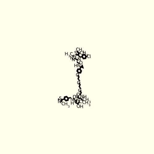 Cc1ncsc1-c1ccc(CNC(=O)[C@@H]2C[C@@H](O)CN2C(=O)C(NC(=O)COCCCOCCCOc2ccc(C3(NC(=O)C[C@@H]4N=C(c5ccc(Cl)cc5)c5c(sc(C)c5C)-n5c(C)nnc54)CC3)cc2)C(C)(C)C)cc1